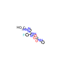 CC1(C(=O)NCc2ccccc2)COC(c2nc(-c3ccc(F)cc3)c(-c3ccnc(NCC(=O)O)n3)[nH]2)OC1